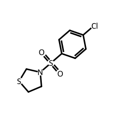 O=S(=O)(c1ccc(Cl)cc1)N1CCSC1